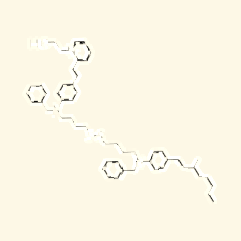 C=C\C=C/C=C(C)/C=C/c1ccc(N(CCCCSSCCCCN(Cc2ccccc2)c2ccc(/C=C/c3cccc[n+]3CCO)cc2)Cc2ccccc2)cc1